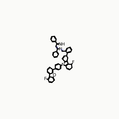 N=C(/C=C(\N=C\c1ccccc1C1C=Cc2c(c3c(n2-c2ccc(-c4cccc5c4oc4cccc(F)c45)cc2)C=CCC3F)C1)c1ccccc1)c1ccccc1